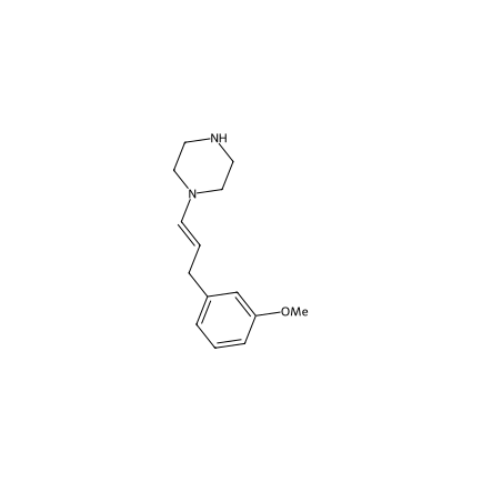 COc1cccc(C/C=C/N2CCNCC2)c1